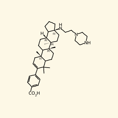 CC1(C)C(c2ccc(C(=O)O)cc2)=CC[C@@]2(C)C1CC[C@]1(C)C2CC[C@@H]2C3CCC[C@]3(NCCN3CCNCC3)CC[C@]21C